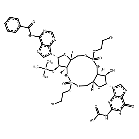 CC(C)C(=O)Nc1nc2c(ncn2[C@@H]2O[C@@H]3COP(=O)(OCCC#N)N[C@H]4[C@@H](O[Si](C)(C)C(C)(C)C)[C@H](n5cnc6c(NC(=O)c7ccccc7)ncnc65)O[C@@H]4COP(=O)(OCCC#N)N[C@H]3[C@H]2O)c(=O)[nH]1